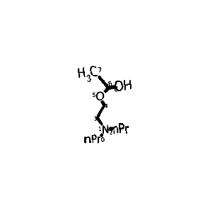 CCCN(CCC)CCOC(C)O